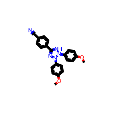 COc1ccc(N2N=C(c3ccc(C#N)cc3)NN2c2ccc(OC)cc2)cc1